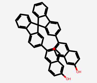 Oc1ccc2cc(-c3ccc4c(c3)C3(c5ccccc5-4)c4ccccc4-c4ccc(-c5ccc6cc(O)ccc6c5)cc43)ccc2c1